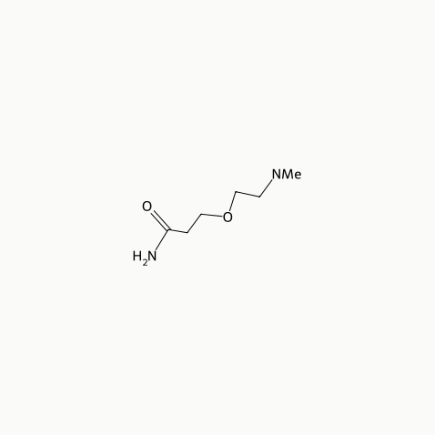 CNCCOCCC(N)=O